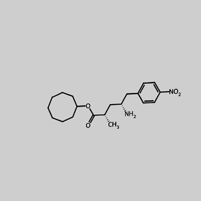 C[C@@H](C[C@@H](N)Cc1ccc([N+](=O)[O-])cc1)C(=O)OC1CCCCCCC1